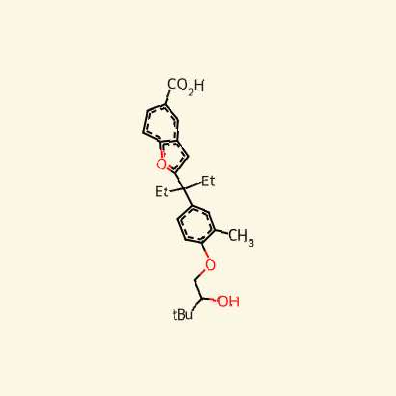 CCC(CC)(c1ccc(OCC(O)C(C)(C)C)c(C)c1)c1cc2cc(C(=O)O)ccc2o1